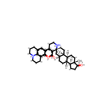 C[C@]12CC[C@]3(C[C@@H]1CC[C@@H]1[C@@H]2CC[C@]2(C)C(=O)CC[C@@H]12)NCCc1c3c(=O)oc2c3c4c(cc12)CCCN4CCC3